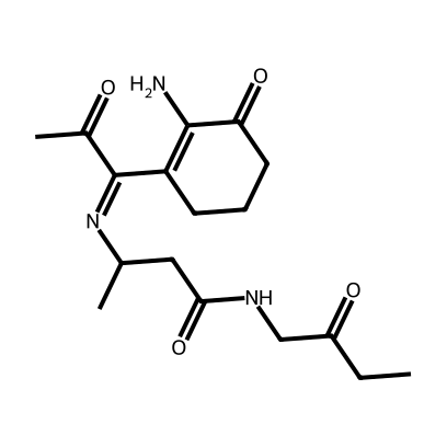 CCC(=O)CNC(=O)CC(C)/N=C(/C(C)=O)C1=C(N)C(=O)CCC1